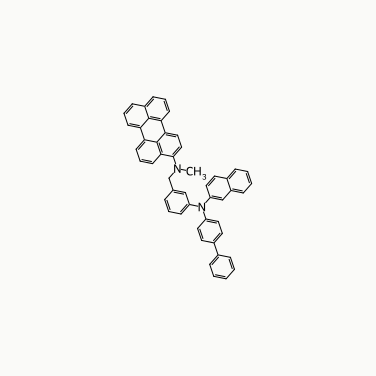 CN(Cc1cccc(N(c2ccc(-c3ccccc3)cc2)c2ccc3ccccc3c2)c1)c1ccc2c3cccc4cccc(c5cccc1c52)c43